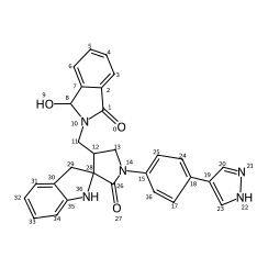 O=C1c2ccccc2C(O)N1CC1CN(c2ccc(-c3cn[nH]c3)cc2)C(=O)C12Cc1ccccc1N2